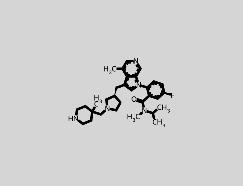 Cc1cncc2c1c(C[C@H]1CCN(CC3(C)CCNCC3)C1)cn2-c1ccc(F)cc1C(=O)N(C)C(C)C